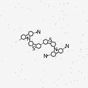 Cc1ccc2c3ccc(C#N)cc3n(-c3ccc4sc5ccc(-c6ccc7sc8ccc(-n9c%10cc(C#N)ccc%10c%10ccc(C#N)cc%109)cc8c7c6)cc5c4c3)c2c1